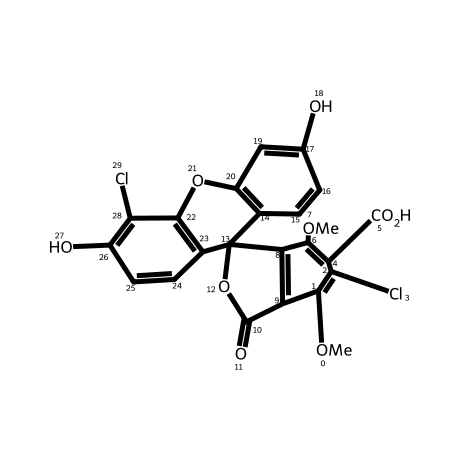 COc1c(Cl)c(C(=O)O)c(OC)c2c1C(=O)OC21c2ccc(O)cc2Oc2c1ccc(O)c2Cl